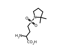 CC1(C)CCCN1S(=O)(=O)CCC(N)C(=O)O